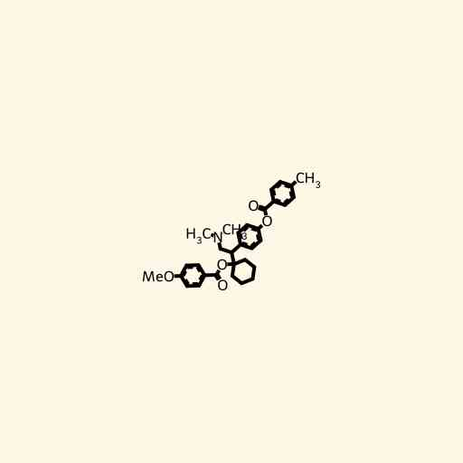 COc1ccc(C(=O)OC2(C(CN(C)C)c3ccc(OC(=O)c4ccc(C)cc4)cc3)CCCCC2)cc1